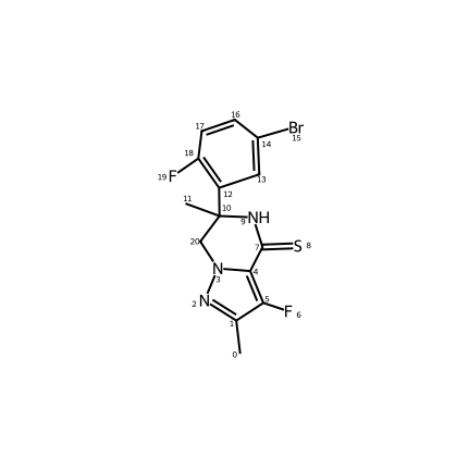 Cc1nn2c(c1F)C(=S)NC(C)(c1cc(Br)ccc1F)C2